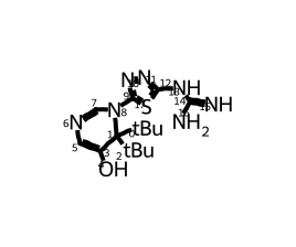 CC(C)(C)C1(C(C)(C)C)C(O)=CN=CN1c1nnc(NC(=N)N)s1